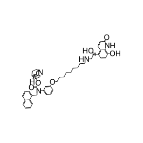 O=C(O[C@H]1CN2CCC1CC2)N(Cc1cccc2ccccc12)c1cccc(OCCCCCCCCCNC[C@H](O)c2ccc(O)c3[nH]c(=O)ccc23)c1